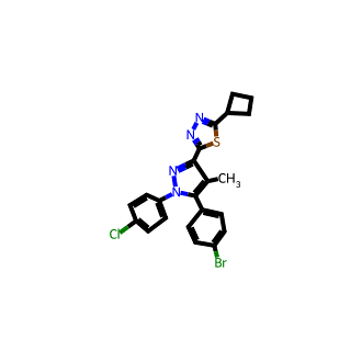 Cc1c(-c2nnc(C3CCC3)s2)nn(-c2ccc(Cl)cc2)c1-c1ccc(Br)cc1